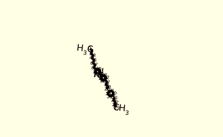 CCCCCCCCCc1cnc(-c2ccc(CCC=C[C@H]3CC[C@H](CCCCC)CC3)cc2)nc1